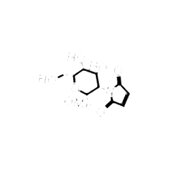 CO[C@@H]1O[C@H](CO)[C@H](O)[C@H](O)[C@@H]1N1C(=O)C=CC1=O